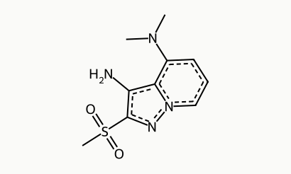 CN(C)c1cccn2nc(S(C)(=O)=O)c(N)c12